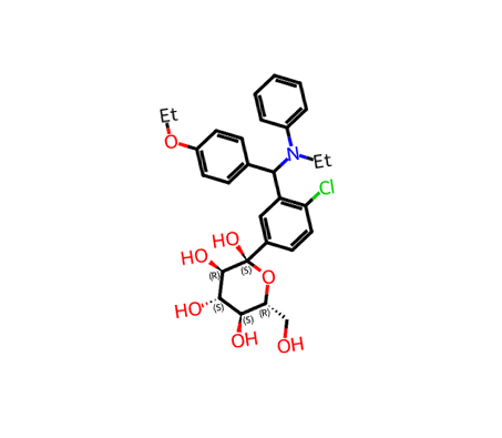 CCOc1ccc(C(c2cc([C@]3(O)O[C@H](CO)[C@@H](O)[C@H](O)[C@H]3O)ccc2Cl)N(CC)c2ccccc2)cc1